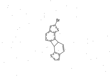 Brc1cc2ccc3c(c2s1)C1C=Cc2ccsc2C31